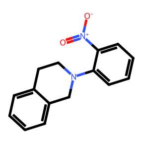 O=[N+]([O-])c1ccccc1N1CCc2ccccc2C1